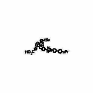 CCCC1CCC(C2CCN(c3cnc(-c4ccc(CC(NC(=O)c5ccc(C(C)(C)C)s5)C(=O)N5CC(C(=O)O)C5)cc4)nc3)CC2)CC1